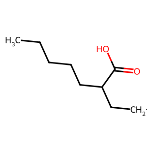 [CH2]CC(CCCCC)C(=O)O